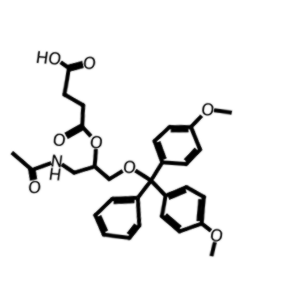 COc1ccc(C(OCC(CNC(C)=O)OC(=O)CCC(=O)O)(c2ccccc2)c2ccc(OC)cc2)cc1